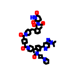 C=c1/c(=C\C(=N/C)c2ccc(C3(C)CCN(C(=O)C4=CC=C(C(=O)N5CCC(CC6=CC=CC(C)C6C(=O)N(C=O)C6CCC(=O)NC6=O)CC5)CC4)CC3)c(N(C=O)C3CC(N4CCCCC4)C3)c2)ncn1C(C)C